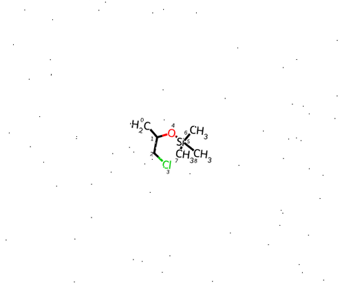 [CH2]C(CCl)O[Si](C)(C)C